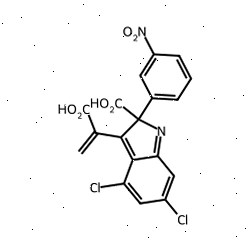 C=C(C(=O)O)C1=c2c(Cl)cc(Cl)cc2=NC1(C(=O)O)c1cccc([N+](=O)[O-])c1